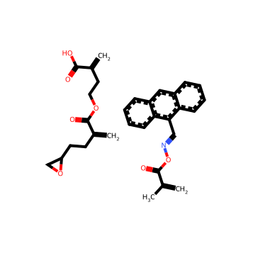 C=C(C)C(=O)ON=Cc1c2ccccc2cc2ccccc12.C=C(CCOC(=O)C(=C)CCC1CO1)C(=O)O